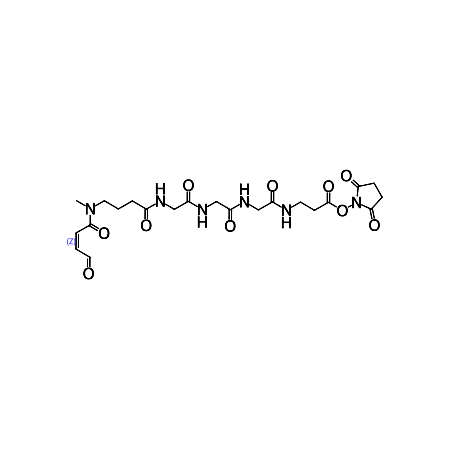 CN(CCCC(=O)NCC(=O)NCC(=O)NCC(=O)NCCC(=O)ON1C(=O)CCC1=O)C(=O)/C=C\C=O